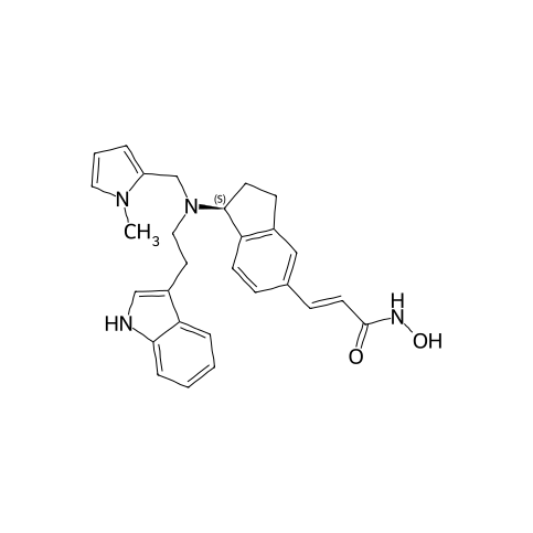 Cn1cccc1CN(CCc1c[nH]c2ccccc12)[C@H]1CCc2cc(C=CC(=O)NO)ccc21